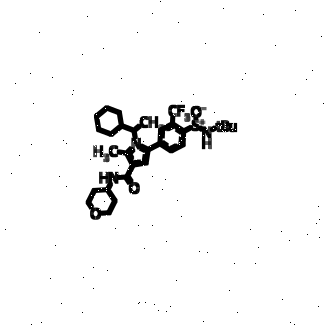 Cc1c(C(=O)NC2CCOCC2)cc(-c2ccc([S+]([O-])NC(C)(C)C)c(C(F)(F)F)c2)n1C(C)C1CCCCC1